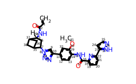 C=CC(=O)N[C@@H]1CC(n2cc(-c3ccc(NC(=O)c4cccc(-c5ccn[nH]5)n4)c(OC)c3)nn2)C2CC1C2